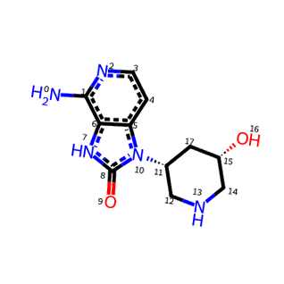 Nc1nccc2c1[nH]c(=O)n2[C@H]1CNC[C@@H](O)C1